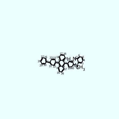 CN(c1ccccc1N)C1C=CC(c2c3ccccc3c(-c3ccc(-c4ccccc4)cc3)c3ccccc23)=CC1